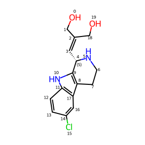 OCC(=C[C@@H]1NCCc2c1[nH]c1ccc(Cl)cc21)CO